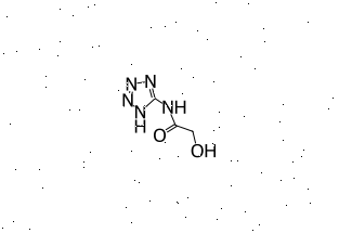 O=C(CO)Nc1nnn[nH]1